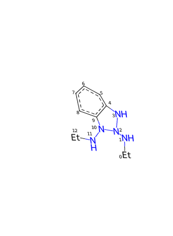 CCNN1Nc2ccccc2N1NCC